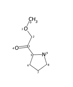 COCC(=O)C1CCC[N]1